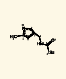 Cn1cc(CNC(=O)C(C)(C)C)cn1